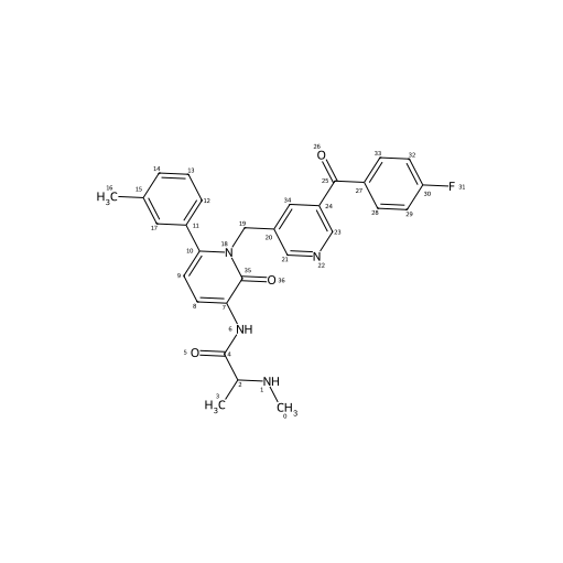 CNC(C)C(=O)Nc1ccc(-c2cccc(C)c2)n(Cc2cncc(C(=O)c3ccc(F)cc3)c2)c1=O